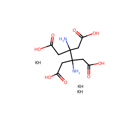 NC(CC(=O)O)(CC(=O)O)C(N)(CC(=O)O)CC(=O)O.[KH].[KH].[KH]